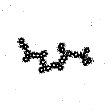 c1ccc(-c2nc(-c3ccc(-c4ccc5c(c4)c4cc6cc7c8cccc9c%10cc(-c%11ccc%12c%13ccccc%13n(-c%13ccc(-n%14c%15ccccc%15c%15cc%16cc%17c%18cc(-c%19ccc%20c(c%19)sc%19ccccc%19%20)cc%19c%20ccccc%20n(c%17cc%16cc%15%14)c%19%18)cc%13)c%12c%11)ccc%10n(c7cc6cc4n5-c4ccc5ccccc5c4)c98)cc3)nc(-c3cccc4ccccc34)n2)cc1